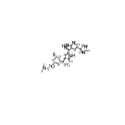 CN(C)CCOc1cc(F)cc(-c2cccc3[nH]c(-c4n[nH]c5ncc(-c6cncnc6)cc45)cc23)c1